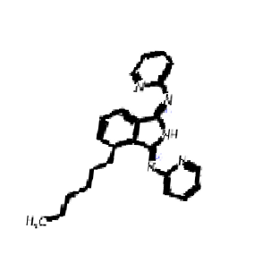 CCCCCCc1cccc2c1/C(=N/c1ccccn1)N/C2=N/c1ccccn1